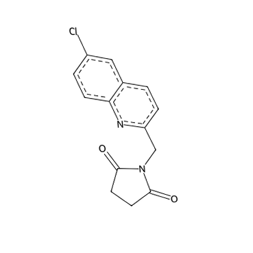 O=C1CCC(=O)N1Cc1ccc2cc(Cl)ccc2n1